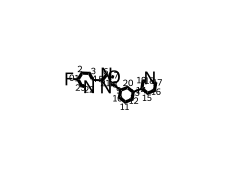 Fc1ccc(-c2noc(-c3cccc(-c4cccnc4)c3)n2)nc1